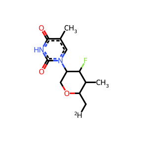 [2H]CC1OCC(n2cc(C)c(=O)[nH]c2=O)C(F)C1C